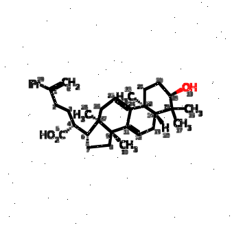 C=C(CC[C@@H](C(=O)O)[C@H]1CC[C@@]2(C)C3=CC[C@H]4C(C)(C)[C@H](O)CC[C@]4(C)C3=CC[C@]12C)C(C)C